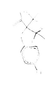 NC(=O)C(Oc1ccc(Cl)cc1)(C(F)(F)F)C(F)(F)F